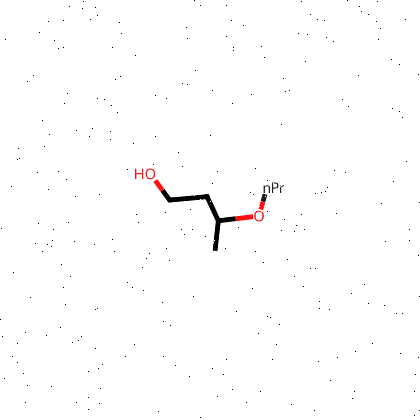 CCCOC(C)CCO